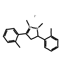 Cc1ccccc1C1=[N+](C)N(C)C(c2ccccc2C)C1.[I-]